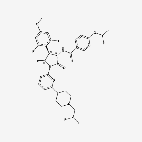 COc1cc(F)c([C@H]2[C@H](NC(=O)c3ccc(OC(F)F)cc3)C(=O)N(c3cccc(C4CCN(CC(F)F)CC4)n3)[C@H]2C)c(F)c1